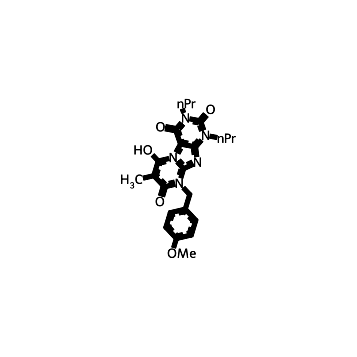 CCCn1c(=O)c2c(nc3n(Cc4ccc(OC)cc4)c(=O)c(C)c(O)n23)n(CCC)c1=O